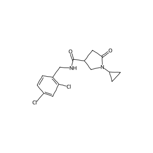 O=C(NCc1ccc(Cl)cc1Cl)C1CC(=O)N(C2CC2)C1